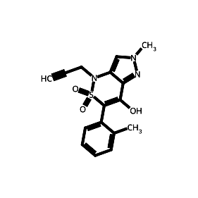 C#CCN1c2cn(C)nc2C(O)=C(c2ccccc2C)S1(=O)=O